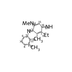 CCC1=C/C(=N\c2cccc(C)c2C)C(NC)=CC1=N